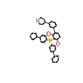 S=P12c3ccc(-c4ccccc4)cc3Oc3ccc(-c4cccc(-c5ccncc5)c4)c(c31)Oc1cc(-c3ccccc3)ccc12